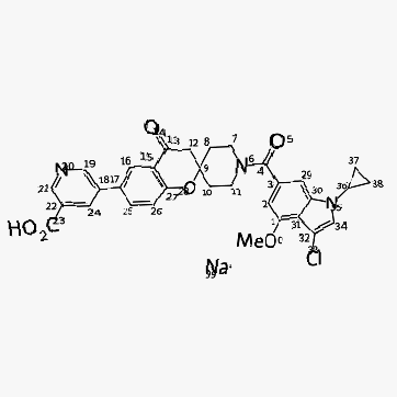 COc1cc(C(=O)N2CCC3(CC2)CC(=O)c2cc(-c4cncc(C(=O)O)c4)ccc2O3)cc2c1c(Cl)cn2C1CC1.[Na]